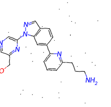 NCCCc1cccc(-c2ccc3cnn(-c4cncc(CO)n4)c3c2)n1